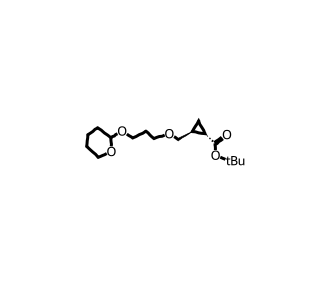 CC(C)(C)OC(=O)[C@H]1C[C@@H]1COCCCOC1CCCCO1